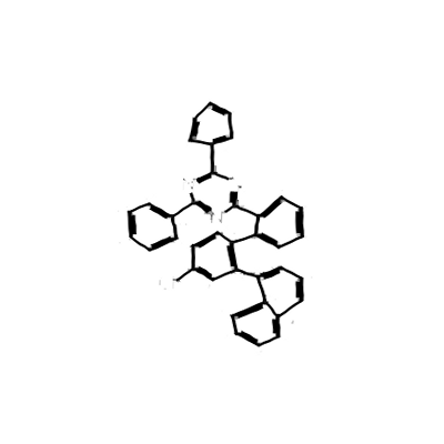 Clc1ccc(-c2ccccc2-c2nc(-c3ccccc3)nc(-c3ccccc3)n2)c(-c2cccc3ccccc23)c1